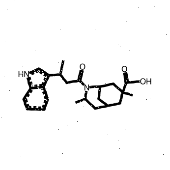 CC(CC(=O)N1C(C)CC2CC1CC(C)(C(=O)O)C2)c1c[nH]c2ccccc12